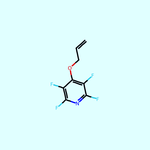 C=CCOc1c(F)c(F)nc(F)c1F